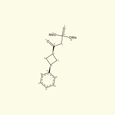 COP(=O)(CC(=O)[C@H]1C[C@@H](c2ccccc2)C1)OC